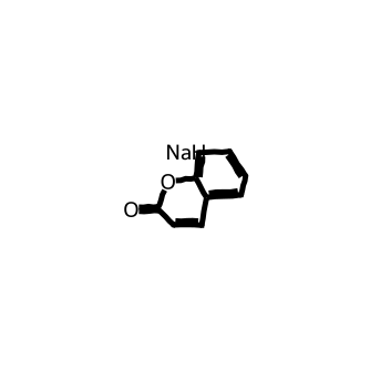 O=c1ccc2ccccc2o1.[NaH]